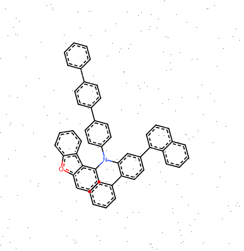 c1ccc(-c2ccc(-c3ccc(N(c4cc(-c5cccc6ccccc56)ccc4-c4ccccc4)c4cccc5oc6ccccc6c45)cc3)cc2)cc1